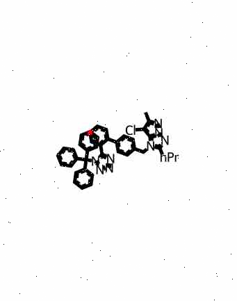 CCCc1nn2nc(C)c(Cl)c2n1Cc1ccc(-c2ccccc2-c2nnnn2C(c2ccccc2)(c2ccccc2)c2ccccc2)cc1